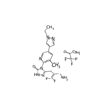 CCn1cc(-c2cnc(-n3c(CC(CN)=C(F)F)n[nH]c3=O)c(C)c2)cn1.O=C(O)C(F)(F)F